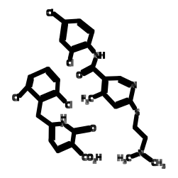 CN(C)CCSc1cc(C(F)(F)F)c(C(=O)Nc2ccc(Cl)cc2Cl)cn1.O=C(O)c1ccc(Cc2c(Cl)cccc2Cl)[nH]c1=O